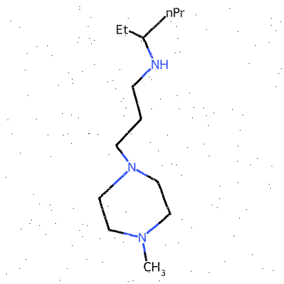 CCCC(CC)NCCCN1CCN(C)CC1